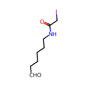 O=CCCCCCNC(=O)CI